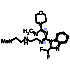 C=N/C(=N\C(=N/CCNCCNC)n1c(C(F)F)nc2ccccc21)N1CCOCC1